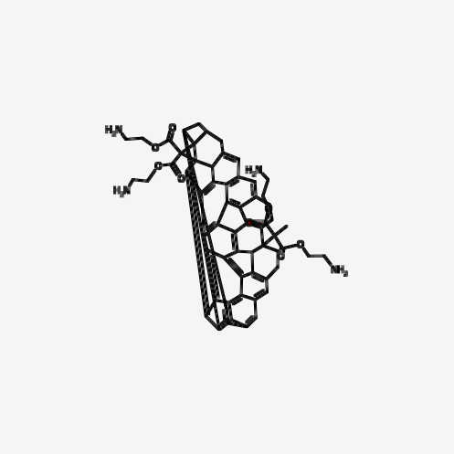 CC(C(=O)OCCN)(C(=O)OCCN)C12CCc3cc4cc5c6c7c8c9c%10c%11c%12c(cc%13ccc1c1c%14c%15c%16c(c3C%152)c4c6c8c%16c%10c%14c%12c%131)C=C1CC2CC7(C=C5)C23C(C(=O)OCCN)(C(=O)OCCN)C93C1%11